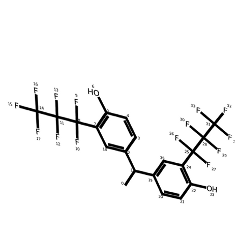 CC(c1ccc(O)c(C(F)(F)C(F)(F)C(F)(F)F)c1)c1ccc(O)c(C(F)(F)C(F)(F)C(F)(F)F)c1